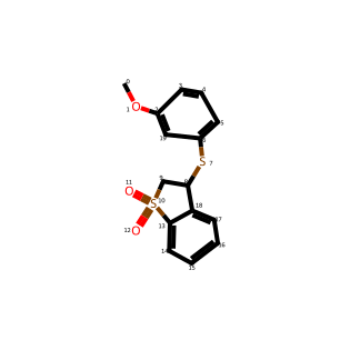 COc1cccc(SC2CS(=O)(=O)c3ccccc32)c1